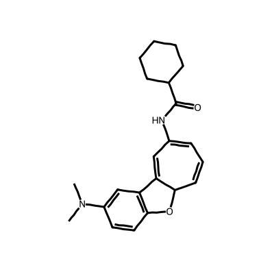 CN(C)c1ccc2c(c1)C1=CC(NC(=O)C3CCCCC3)=CC=CC1O2